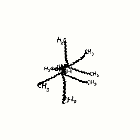 CCCCCCCCCCCCCCCCc1cc(Nc2nc(Nc3cc(CCCCCCCCCCCCCCCC)c(CCCCCCCCCCCCCCCC)c(CCCCCCCCCCCCCCCC)c3)nc(-c3ccc(CC)cc3)n2)cc(CCCCCCCCCCCCCCCC)c1CCCCCCCCCCCCCCCC